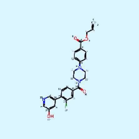 C=CCOC(=O)c1ccc(N2CCN(C(=O)c3ccc(-c4cncc(O)c4)c(F)c3)CC2)cc1